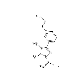 CCSc1cccc(-c2nn(C(C)C)c(C)c2O)c1